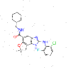 CC1(C)Cc2c(c(C(=O)NCC3CCCCC3)cc3nc(Nc4c(F)cccc4Cl)[nH]c23)O1